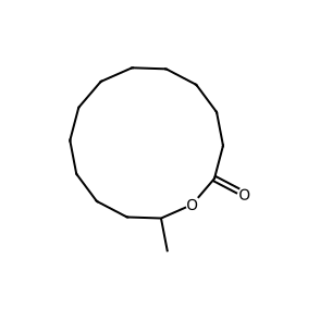 CC1CCCCCCCCCCCC(=O)O1